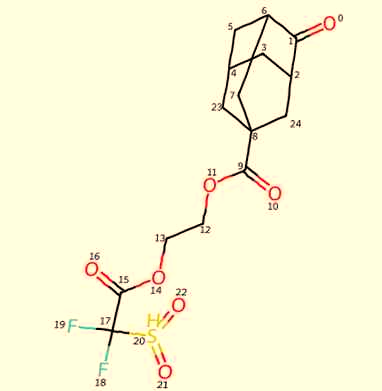 O=C1C2CC3CC1CC(C(=O)OCCOC(=O)C(F)(F)[SH](=O)=O)(C3)C2